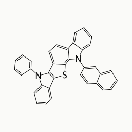 c1ccc(-n2c3ccccc3c3sc4c(ccc5c6ccccc6n(-c6ccc7ccccc7c6)c54)c32)cc1